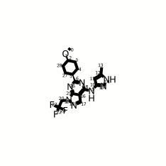 CO[C@H]1CC[C@@H](c2nc(Nc3cc(C)[nH]n3)c3cnn(CC(F)(F)F)c3n2)CC1